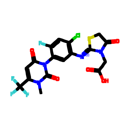 Cn1c(C(F)(F)F)cc(=O)n(-c2cc(/N=C3\SCC(=O)N3CC(=O)O)c(Cl)cc2F)c1=O